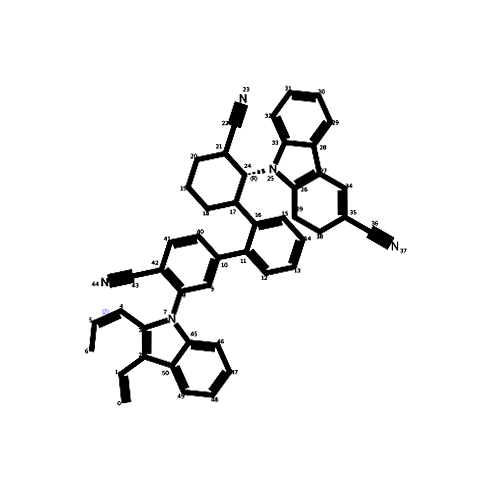 C=Cc1c(/C=C\C)n(-c2cc(-c3ccccc3C3CCCC(C#N)[C@@H]3n3c4c(c5ccccc53)C=C(C#N)CC4)ccc2C#N)c2ccccc12